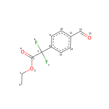 CCOC(=O)C(F)(F)c1ccc(C=O)cc1